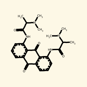 CC(C(=O)Nc1cccc2c1C(=O)c1c(NC(=O)C(C)N(C)C)cccc1C2=O)N(C)C